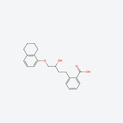 O=C(O)c1ccccc1CCC(O)COc1cccc2c1CCCC2